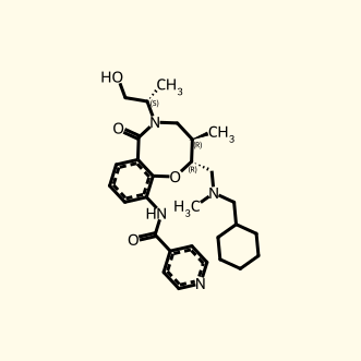 C[C@@H]1CN([C@@H](C)CO)C(=O)c2cccc(NC(=O)c3ccncc3)c2O[C@H]1CN(C)CC1CCCCC1